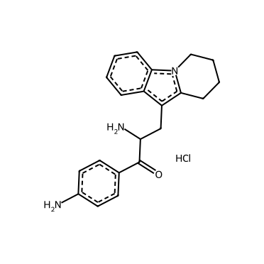 Cl.Nc1ccc(C(=O)C(N)Cc2c3n(c4ccccc24)CCCC3)cc1